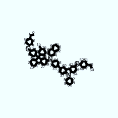 C=Cc1ccc(Oc2ccc(C3(c4cc(C)ccc4C)c4ccccc4-c4ccc(N(c5ccc(-c6ccc7c(c6)c6cc(Oc8ccc(C=C)cc8)ccc6n7-c6ccccc6)cc5)c5ccc6ccccc6c5)cc43)cc2)cc1